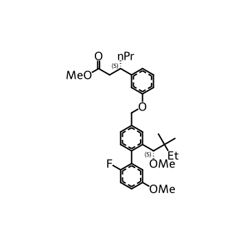 CCC[C@@H](CC(=O)OC)c1cccc(OCc2ccc(-c3cc(OC)ccc3F)c([C@@H](OC)C(C)(C)CC)c2)c1